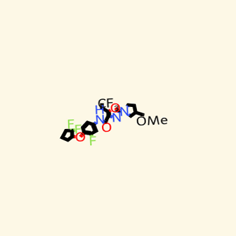 COCC1CCN(c2nc(C(=O)Nc3ccc(OC4CCCC4(F)F)c(F)c3)c(CC(F)(F)F)o2)C1